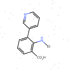 CCNc1c(C(=O)O)cccc1-c1cccnc1